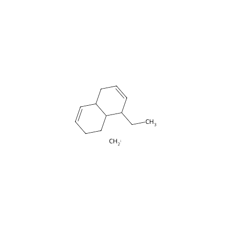 CCC1C=CCC2C=CCCC12.[CH2]